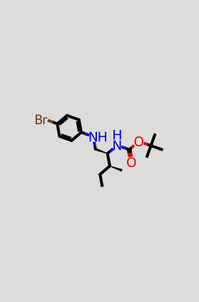 CC[C@H](C)[C@@H](CNc1ccc(Br)cc1)NC(=O)OC(C)(C)C